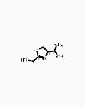 CCC1=NC(C(C)C)CO1